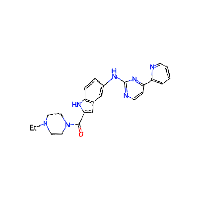 CCN1CCN(C(=O)c2cc3cc(Nc4nccc(-c5ccccn5)n4)ccc3[nH]2)CC1